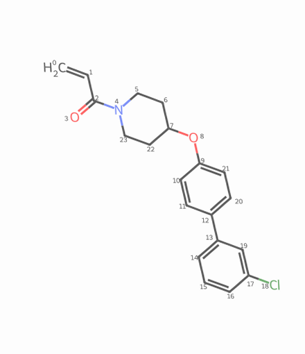 C=CC(=O)N1CCC(Oc2ccc(-c3cccc(Cl)c3)cc2)CC1